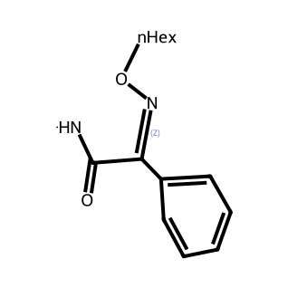 CCCCCCO/N=C(\C([NH])=O)c1ccccc1